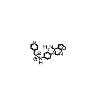 NC1c2ccoc2N=CN1c1ccc(NS(=O)(=O)Cc2ccncc2)cc1